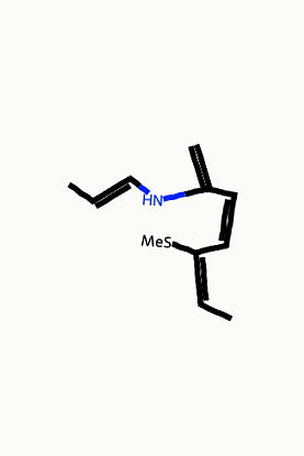 C=C(/C=C\C(=C/C)SC)N/C=C/C